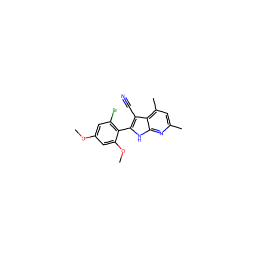 COc1cc(Br)c(-c2[nH]c3nc(C)cc(C)c3c2C#N)c(OC)c1